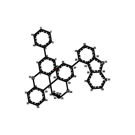 c1ccc(-c2ccc3c(c2)Oc2ccccc2C32c3ccccc3Oc3cc(-c4cccc5oc6ncccc6c45)ccc32)cc1